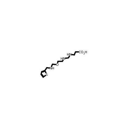 O=C(O)CCNCNCCOCNCc1cccs1